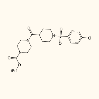 CC(C)(C)OC(=O)N1CCN(C(=O)C2CCN(S(=O)(=O)c3ccc(Cl)cc3)CC2)CC1